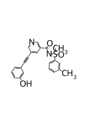 Cc1cccc(S(C)(=O)=NC(=O)c2cncc(C#Cc3cccc(O)c3)c2)c1